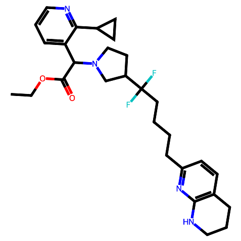 CCOC(=O)C(c1cccnc1C1CC1)N1CCC(C(F)(F)CCCCc2ccc3c(n2)NCCC3)C1